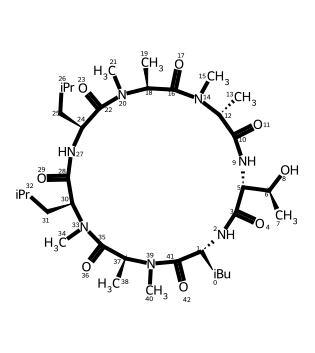 CC[C@H](C)[C@H]1NC(=O)[C@@H]([C@H](C)O)NC(=O)[C@@H](C)N(C)C(=O)[C@H](C)N(C)C(=O)[C@H](CC(C)C)NC(=O)[C@H](CC(C)C)N(C)C(=O)[C@H](C)N(C)C1=O